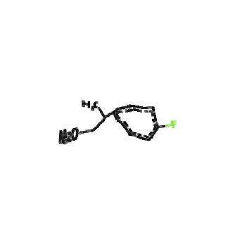 COCC(C)c1ccc(F)cc1